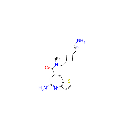 CCCN(C[C@H]1C[C@H](/C=C/N)C1)C(=O)C1=Cc2sccc2N=C(N)C1